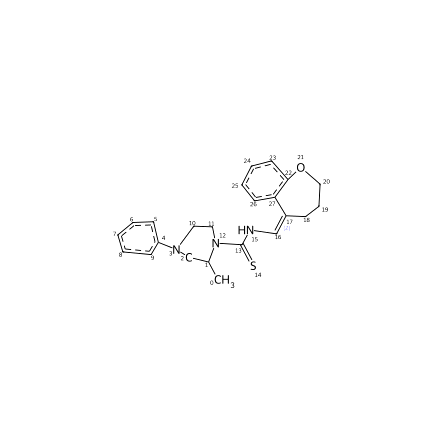 CC1CN(c2ccccc2)CCN1C(=S)N/C=C1/CCCOc2ccccc21